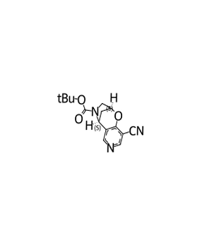 CC(C)(C)OC(=O)N1C[C@@H]2C[C@H]1c1cncc(C#N)c1O2